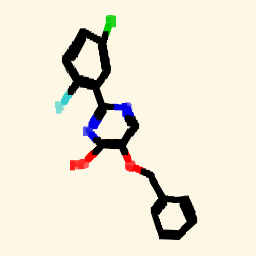 Oc1nc(-c2cc(Cl)ccc2F)ncc1OCc1ccccc1